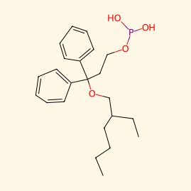 CCCCC(CC)COC(CCOP(O)O)(c1ccccc1)c1ccccc1